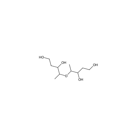 CC(OC(C)C(O)CCO)C(O)CCO